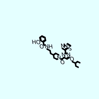 CCC(CC)COc1cc(C(=O)N2CCC(CCCNC(=O)c3ccccc3O)CC2)nc(-c2cnn3ccsc23)n1